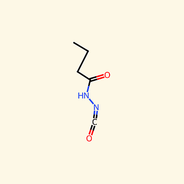 CCCC(=O)NN=C=O